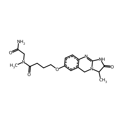 CC1C(=O)NC2=Nc3ccc(OCCCC(=O)N(C)CC(N)=O)cc3CN21